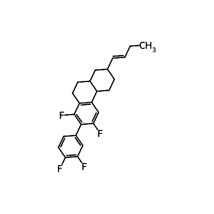 CC/C=C/C1CCC2c3cc(F)c(-c4ccc(F)c(F)c4)c(F)c3CCC2C1